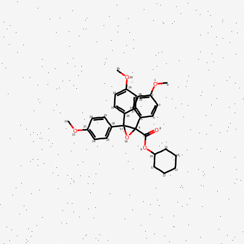 COc1ccc(C2(C(=O)OC3CCCCC3)OC2(c2ccc(OC)cc2)c2ccc(OC)cc2)cc1